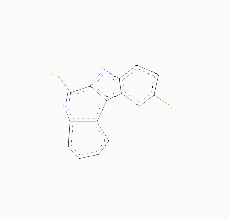 Clc1ccc2[nH]c3c(Cl)nc4ccccc4c3c2c1